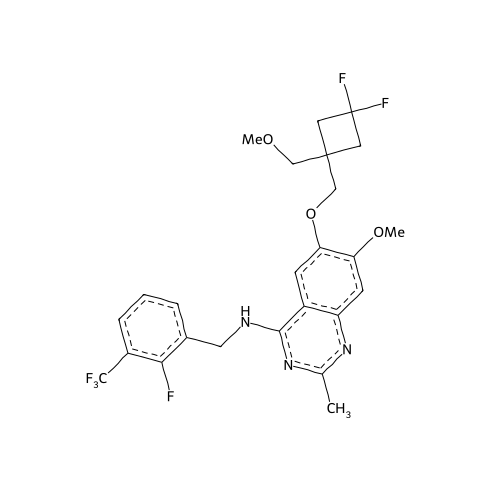 COCC1(COc2cc3c(NCc4cccc(C(F)(F)F)c4F)nc(C)nc3cc2OC)CC(F)(F)C1